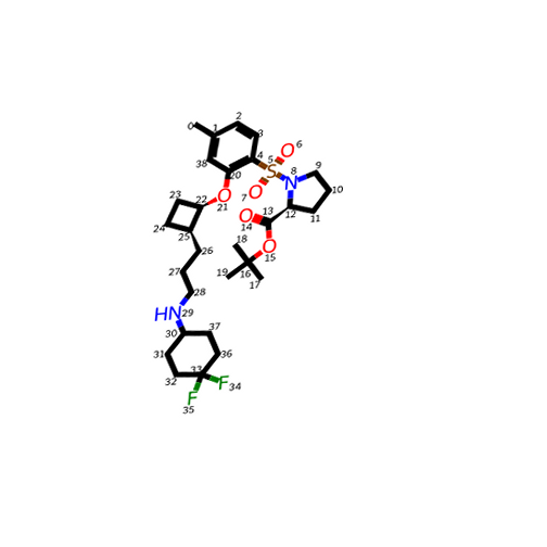 Cc1ccc(S(=O)(=O)N2CCC[C@H]2C(=O)OC(C)(C)C)c(O[C@@H]2CC[C@@H]2CCCNC2CCC(F)(F)CC2)c1